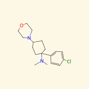 CN(C)C1(c2ccc(Cl)cc2)CCC(N2CCOCC2)CC1